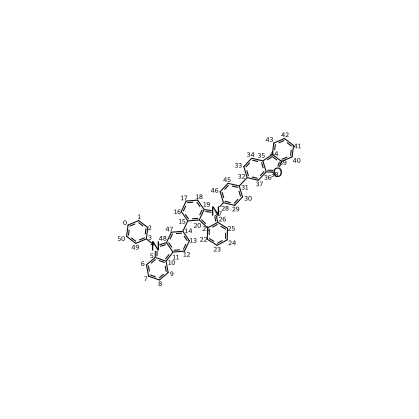 c1ccc(-n2c3ccccc3c3ccc(-c4cccc5c4c4ccccc4n5-c4ccc(-c5ccc6c(c5)oc5ccccc56)cc4)cc32)cc1